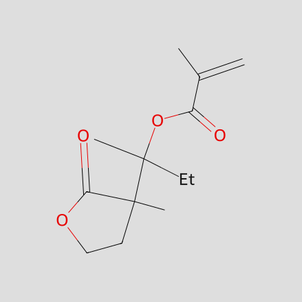 C=C(C)C(=O)OC(C)(CC)C1(C)CCOC1=O